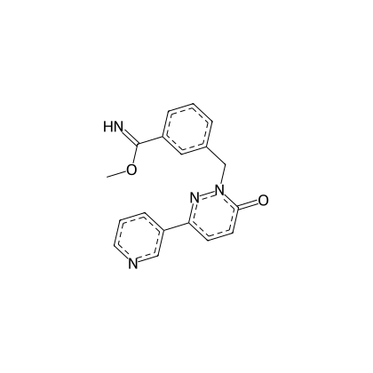 COC(=N)c1cccc(Cn2nc(-c3cccnc3)ccc2=O)c1